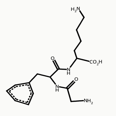 NCCCCC(NC(=O)C(Cc1ccccc1)NC(=O)CN)C(=O)O